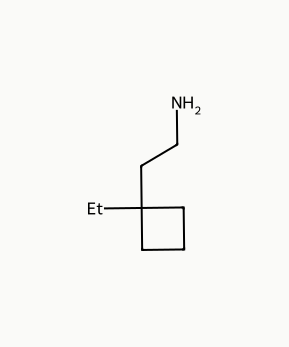 CCC1(CCN)CCC1